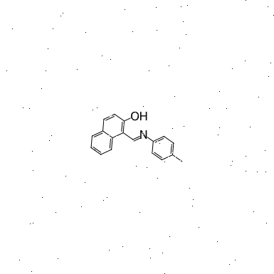 Cc1ccc(N=Cc2c(O)ccc3ccccc23)cc1